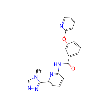 CC(C)n1cnnc1-c1cccc(NC(=O)c2cccc(Oc3ccccn3)c2)n1